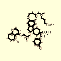 COCCCN(C)C[C@@H]1CCOc2cc3c(cc2O1)C1(CCC(Nc2cccc(Cl)c2)(C(=O)O)CC1)[C@@H](C[C@@H](C)COc1ccnc2c1[C@H](C)CCC2)C3